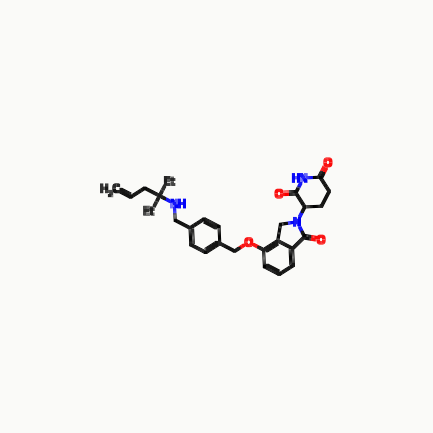 C=CCC(CC)(CC)NCc1ccc(COc2cccc3c2CN(C2CCC(=O)NC2=O)C3=O)cc1